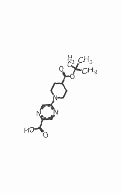 CC(C)(C)OC(=O)C1CCN(c2cnc(C(=O)O)cn2)CC1